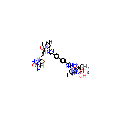 CC(C)(C)[C@H](NC(=O)O)C(=O)N1[C@@H]2C[C@@H]2C[C@H]1c1nc(-c2ccc(-c3ccc(-c4c[nH]c([C@@H]5C[C@@H]6C[C@H]6N5C(=O)CCCC[C@@H]5SC[C@@H]6NC(=O)N[C@@H]65)n4)cc3)cc2)c[nH]1